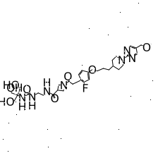 COCc1cnc(N2CCC(CCCOc3ccc(CC(=O)N4CC(C(=O)NCCNC(=O)NC(CO)(CO)CO)C4)c(F)c3)CC2)nc1